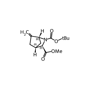 C=C1C[C@@H]2C[C@H]1N(C(=O)OC(C)(C)C)[C@H]2C(=O)OC